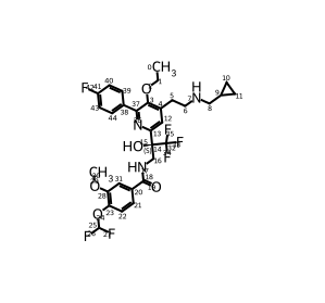 CCOc1c(CCNCC2CC2)cc([C@@](O)(CNC(=O)c2ccc(OC(F)F)c(OC)c2)C(F)(F)F)nc1-c1ccc(F)cc1